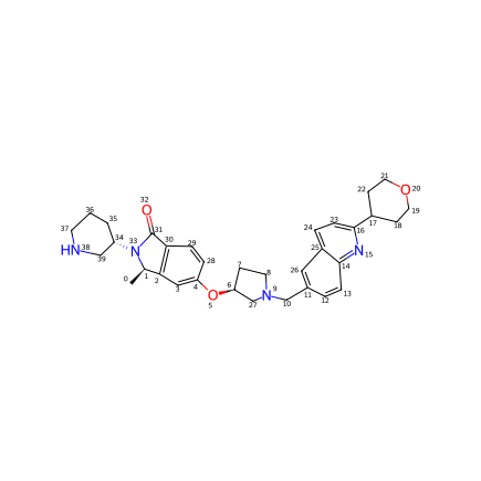 C[C@@H]1c2cc(O[C@H]3CCN(Cc4ccc5nc(C6CCOCC6)ccc5c4)C3)ccc2C(=O)N1[C@H]1CCCNC1